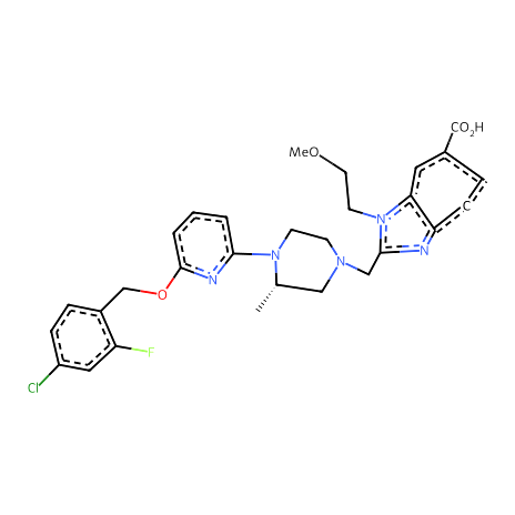 COCCn1c(CN2CCN(c3cccc(OCc4ccc(Cl)cc4F)n3)[C@@H](C)C2)nc2ccc(C(=O)O)cc21